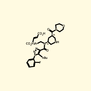 CCCCc1c(C(=O)N(CC(C)C)[C@@H]2CNC[C@H](C(=O)N3CCOCC3)C2)nnn1-c1ccccc1F.O=C(O)C=CC(=O)O